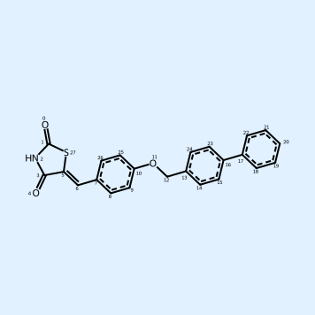 O=C1NC(=O)C(=Cc2ccc(OCc3ccc(-c4ccccc4)cc3)cc2)S1